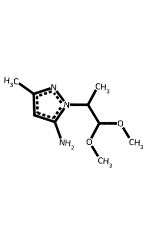 COC(OC)C(C)n1nc(C)cc1N